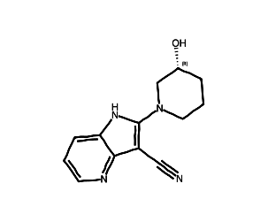 N#Cc1c(N2CCC[C@@H](O)C2)[nH]c2cccnc12